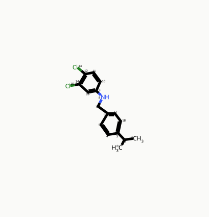 CC(C)c1ccc(CNc2ccc(Cl)c(Cl)c2)cc1